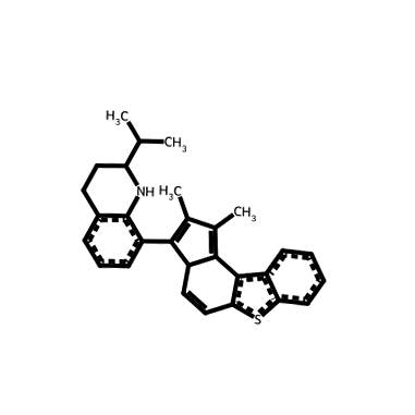 CC1=C(c2cccc3c2NC(C(C)C)CC3)C2C=Cc3sc4ccccc4c3C2=C1C